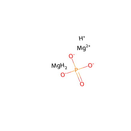 O=P([O-])([O-])[O-].[H+].[Mg+2].[MgH2]